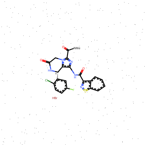 Br.CNC(=O)c1nc(NC(=O)c2nsc3ccccc23)c2n1CC(=O)N[C@H]2c1cc(F)ccc1Cl